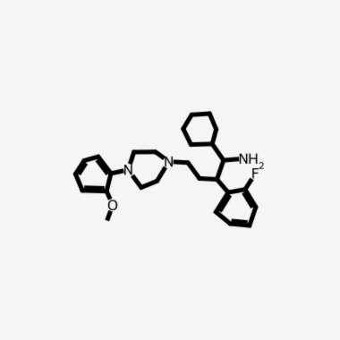 COc1ccccc1N1CCN(CCC(c2ccccc2F)C(N)C2CCCCC2)CC1